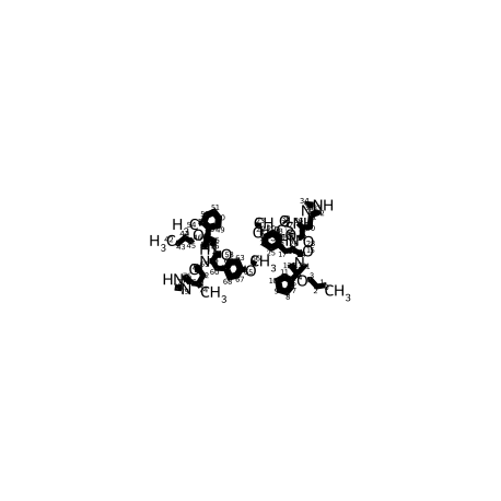 CCCCOC1(c2ccccc2)CN(C(=O)C(Cc2ccc(OC)cc2)NC(=O)C(Cc2c[nH]cn2)NS(C)(=O)=O)C1.CCCCOC1(c2ccccc2C)CN(C(=O)C(Cc2ccc(OC)cc2)NC(=O)CC(C)c2c[nH]cn2)C1